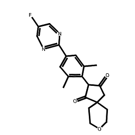 Cc1cc(-c2ncc(F)cn2)cc(C)c1C1C(=O)CC2(CCOCC2)C1=O